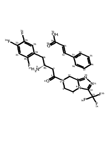 N[C@@H](CC(=O)N1CCn2c(nnc2C(F)(F)F)C1)Cc1cc(F)c(F)cc1F.O=C(O)C=Cc1ccccc1